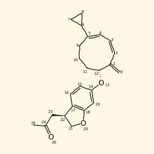 C=C1/C=C\C=C(\C2CC2)CCC[C@H]1Oc1ccc2c(c1)OC[C@H]2CC(C)=O